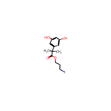 CC(C)(C(=O)OCCCI)c1cc(O)cc(O)c1